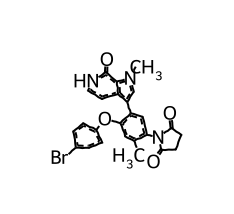 Cc1cc(Oc2ccc(Br)cc2)c(-c2cn(C)c3c(=O)[nH]ccc23)cc1N1C(=O)CCC1=O